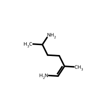 CC(=CN)CCC(C)N